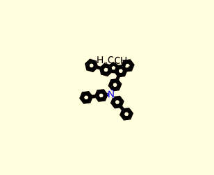 CC1(C)c2cc(-c3ccccc3)ccc2-c2c(-c3ccc(N(c4ccc(-c5ccccc5)cc4)c4ccc(-c5ccccc5)cc4)cc3)cc3ccccc3c21